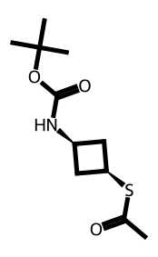 CC(=O)S[C@H]1C[C@@H](NC(=O)OC(C)(C)C)C1